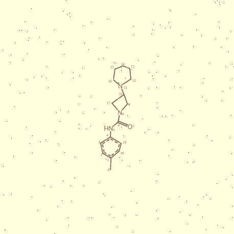 Cc1ccc(NC(=O)N2CC(N3CCCCC3)C2)cc1